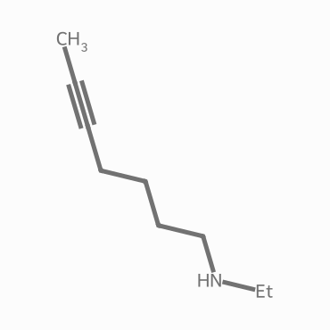 CC#CCCCCNCC